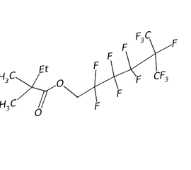 CCC(C)(C)C(=O)OCC(F)(F)C(F)(F)C(F)(F)C(F)(C(F)(F)F)C(F)(F)F